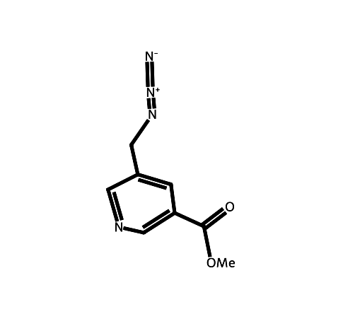 COC(=O)c1cncc(CN=[N+]=[N-])c1